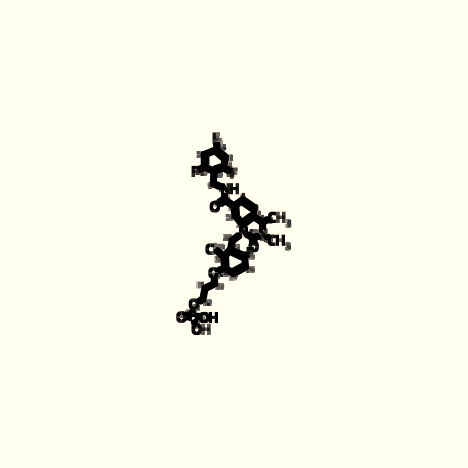 CC1c2ccc(C(=O)NCc3c(F)cc(F)cc3F)cc2N(Cc2c(F)ccc(OCCCOP(=O)(O)O)c2Cl)C(=O)N1C